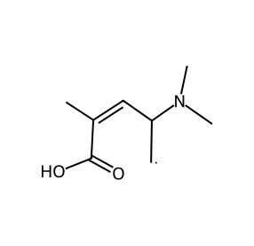 [CH2]C(C=C(C)C(=O)O)N(C)C